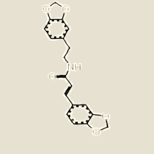 O=C(C=Cc1ccc2c(c1)OCO2)NCCc1ccc2c(c1)OCO2